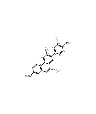 COc1ccc(-c2ccc(-c3ccc(OC)c(Cl)c3)c(C#N)c2)c(/C=C/C(=O)O)c1